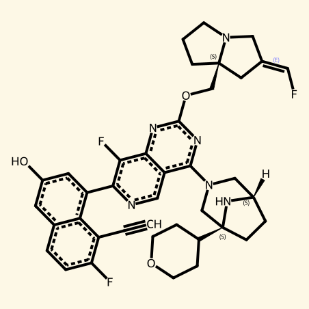 C#Cc1c(F)ccc2cc(O)cc(-c3ncc4c(N5C[C@@H]6CC[C@](C7CCOCC7)(C5)N6)nc(OC[C@@]56CCCN5C/C(=C/F)C6)nc4c3F)c12